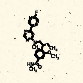 CCC(CN(C)c1cc(-c2ccc(F)nc2)ncn1)c1ccc(C(=O)NC)cc1OC